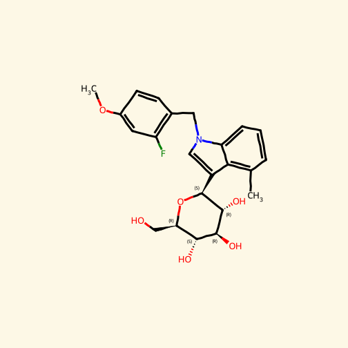 COc1ccc(Cn2cc([C@@H]3O[C@H](CO)[C@@H](O)[C@H](O)[C@H]3O)c3c(C)cccc32)c(F)c1